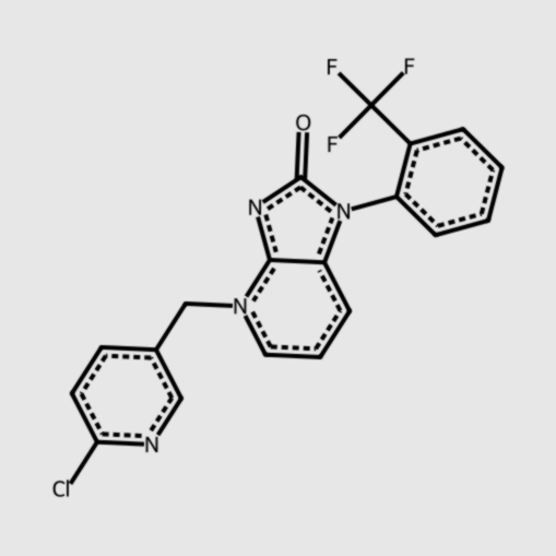 O=c1nc2n(Cc3ccc(Cl)nc3)cccc-2n1-c1ccccc1C(F)(F)F